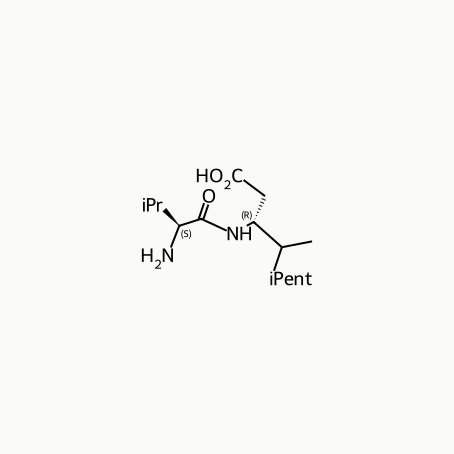 CCCC(C)C(C)[C@@H](CC(=O)O)NC(=O)[C@@H](N)C(C)C